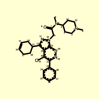 CN1CCC(N(C)C(=O)Cn2nc(C3CC=CCC3)c3c(Cl)c(-c4ccccc4)nnc32)CC1